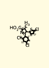 C[C@@H]1C(C(=O)O)=NN(c2ccc(Cl)cc2Cl)[C@H]1c1ccc(Cl)s1